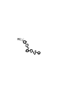 O=C(O)c1ccc(N2CCN(Cc3ccccc3-c3ccc(-c4nc(-c5ccccc5)cs4)s3)CC2)cc1